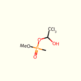 COP(C)(=O)OC(O)C(Cl)(Cl)Cl